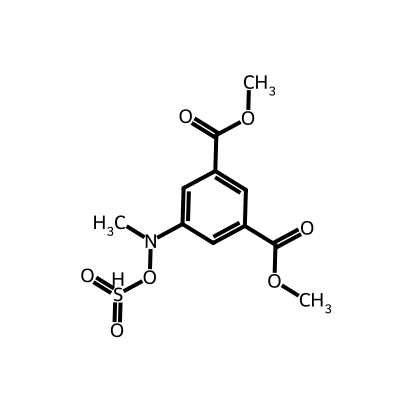 COC(=O)c1cc(C(=O)OC)cc(N(C)O[SH](=O)=O)c1